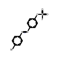 O=S(=O)(F)Oc1ccc(/N=N/c2ccc(Br)cc2)cc1